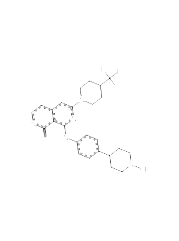 CN1CCC(c2ccc(Nc3nc(N4CCC(C(F)(F)F)CC4)cc4cc[nH]c(=O)c34)cc2)CC1